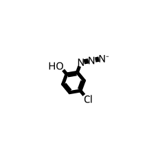 [N-]=[N+]=Nc1cc(Cl)ccc1O